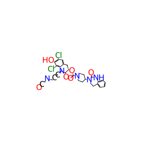 O=C=C=NC=C=C=NC(=O)[C@@H](Cc1cc(Cl)c(O)c(Cl)c1)OC(=O)N1CCC(N2CCc3ccccc3NC2=O)CC1